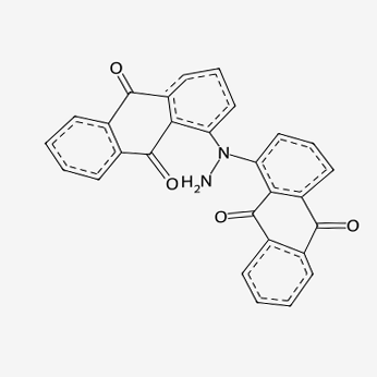 NN(c1cccc2c1C(=O)c1ccccc1C2=O)c1cccc2c1C(=O)c1ccccc1C2=O